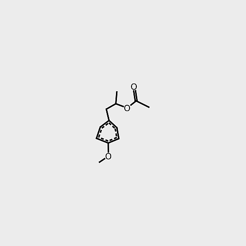 COc1ccc(CC(C)OC(C)=O)cc1